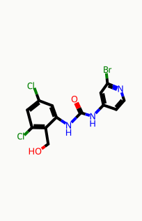 O=C(Nc1ccnc(Br)c1)Nc1cc(Cl)cc(Cl)c1CO